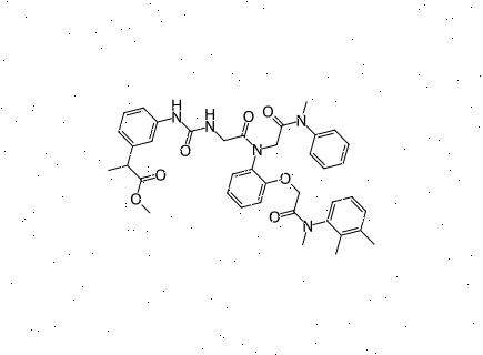 COC(=O)C(C)c1cccc(NC(=O)NCC(=O)N(CC(=O)N(C)c2ccccc2)c2ccccc2OCC(=O)N(C)c2cccc(C)c2C)c1